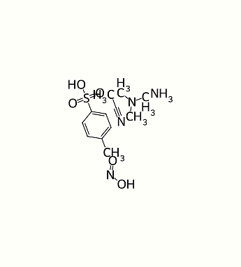 CC#N.CN(C)C.Cc1ccc(S(=O)(=O)O)cc1.N.O=NO